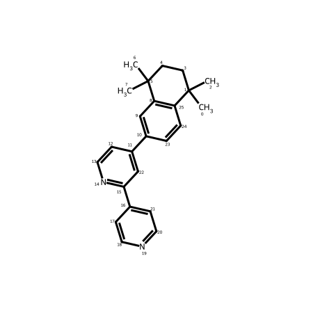 CC1(C)CCC(C)(C)c2cc(-c3ccnc(-c4ccncc4)c3)ccc21